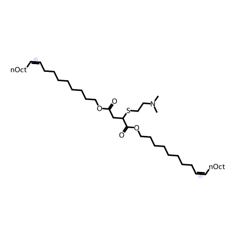 CCCCCCCC/C=C\CCCCCCCCOC(=O)CC(SCCN(C)C)C(=O)OCCCCCCCC/C=C\CCCCCCCC